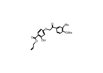 C=CCOC(=O)c1ccc(OCC(=O)c2ccc(OC)c(C(C)(C)C)c2)cc1O